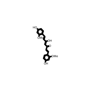 COc1cc(O)ccc1C=CC(=O)C=C(O)C=Cc1ccc(O)cc1OC